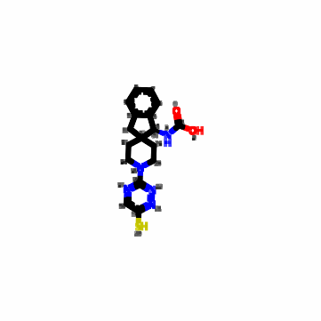 O=C(O)N[C@@H]1c2ccccc2CC12CCN(c1ncc(S)nn1)CC2